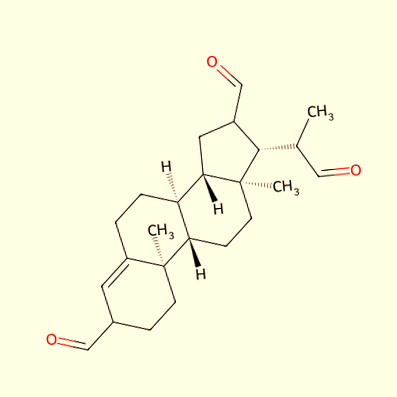 CC(C=O)[C@H]1C(C=O)C[C@H]2[C@@H]3CCC4=CC(C=O)CC[C@]4(C)[C@H]3CC[C@]12C